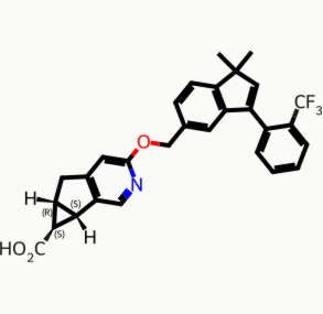 CC1(C)C=C(c2ccccc2C(F)(F)F)c2cc(COc3cc4c(cn3)[C@H]3[C@@H](C4)[C@@H]3C(=O)O)ccc21